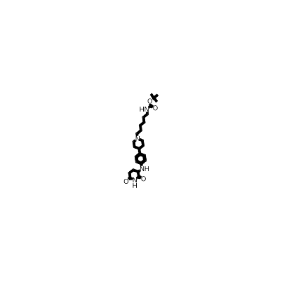 CC(C)(C)OC(=O)NCCCCCCN1CCC(c2ccc(NC3CCC(=O)NC3=O)cc2)CC1